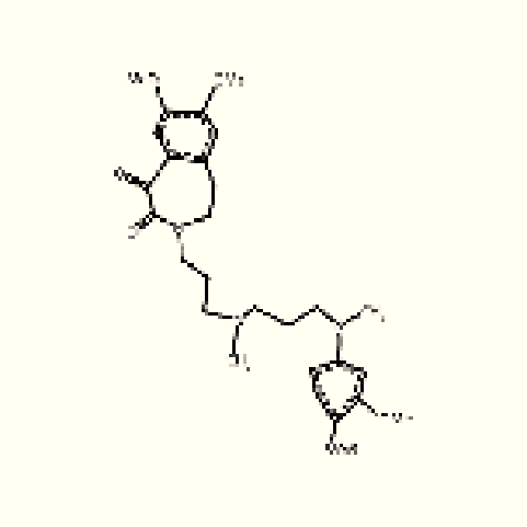 COc1ccc(N(C)CCCN(C)CCCN2CCc3cc(OC)c(OC)cc3C(=O)C2=O)cc1OC